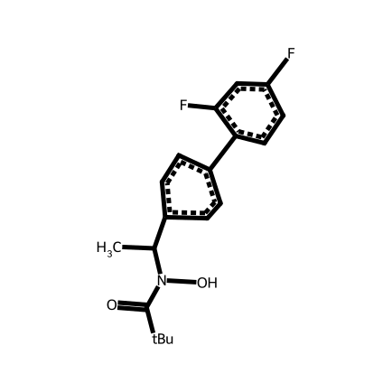 CC(c1ccc(-c2ccc(F)cc2F)cc1)N(O)C(=O)C(C)(C)C